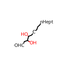 CCCCCCCCCCCCC(O)C(O)C[C]=O